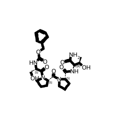 C[C@@H](O)[C@H](NC(=O)[C@@H]1CCCN1C(=O)[C@@H]1CCCN1C(=O)[C@H](CO)NC(=O)OCc1ccccc1)C(N)=O